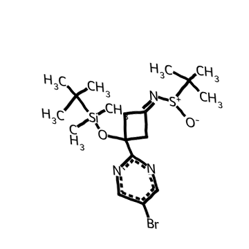 CC(C)(C)[S+]([O-])N=C1CC(O[Si](C)(C)C(C)(C)C)(c2ncc(Br)cn2)C1